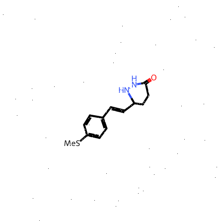 CSc1ccc(/C=C/C2CCC(=O)NN2)cc1